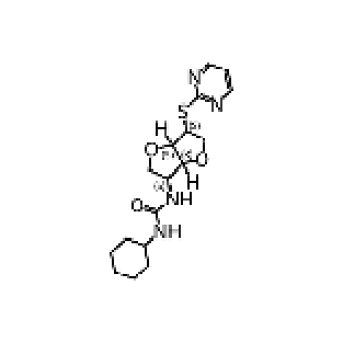 O=C(NC1CCCCC1)N[C@H]1CO[C@H]2[C@@H]1OC[C@@H]2Sc1ncccn1